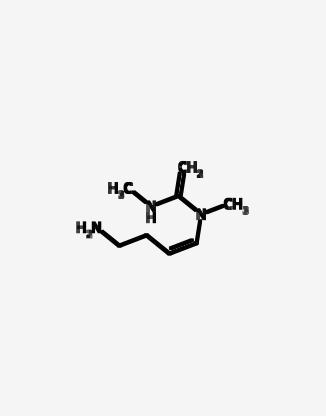 C=C(NC)N(C)/C=C\CCN